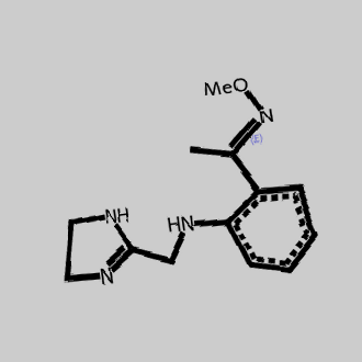 CO/N=C(\C)c1ccccc1NCC1=NCCN1